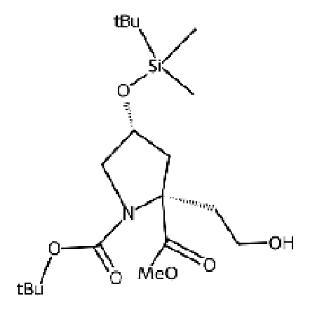 COC(=O)[C@]1(CCO)C[C@@H](O[Si](C)(C)C(C)(C)C)CN1C(=O)OC(C)(C)C